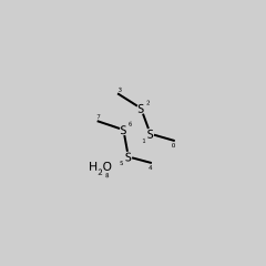 CSSC.CSSC.O